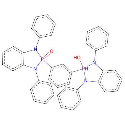 O=P1(c2cccc([PH]3(O)N(c4ccccc4)c4ccccc4N3c3ccccc3)c2)N(c2ccccc2)c2ccccc2N1c1ccccc1